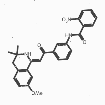 COc1ccc2c(c1)C(=CC(=O)c1cccc(NC(=O)c3ccccc3[N+](=O)[O-])c1)NC(C)(C)C2